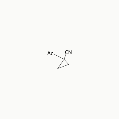 CC(=O)C1(C#N)CC1